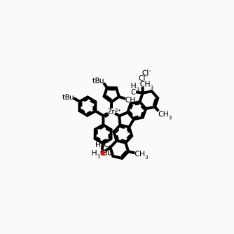 CC1=CCC(C)(C)c2cc3c(cc21)-c1cc2c(cc1[CH]3[Zr+2]([C]1=CC(C(C)(C)C)=CC1C)=[C](c1ccc(C(C)(C)C)cc1)c1ccc(C(C)(C)C)cc1)C(C)(C)CC=C2C.[Cl-].[Cl-]